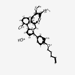 CCCCCOc1ccc(-c2ccc(-c3ccccc3Cl)n2Cc2ccc(OC)c(N)n2)cc1.Cl